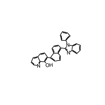 Oc1c(-c2cccc3c(-c4nc5ccccc5n4-c4ccccc4)cccc23)ccc2cccnc12